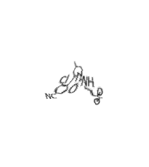 CC1CCN(C(=O)NC/C=C/S(C)(=O)=O)C(c2ccc(C#N)cc2Cl)C1